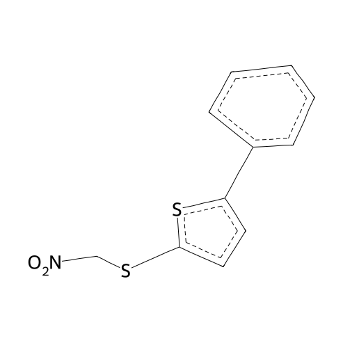 O=[N+]([O-])CSc1ccc(-c2ccccc2)s1